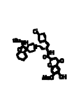 COc1cc2oc(C(=O)N[C@H](CCN3CCC(C(=O)NC(C)(C)C)(C4CCCCC4)CC3)Cc3ccc(Cl)cc3)cc(=O)c2cc1O